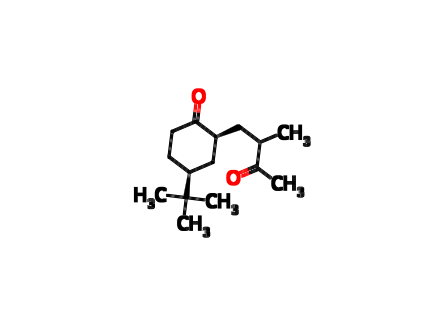 CC(=O)C(C)C[C@H]1C[C@@H](C(C)(C)C)CCC1=O